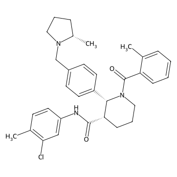 Cc1ccc(NC(=O)[C@H]2CCCN(C(=O)c3ccccc3C)[C@H]2c2ccc(CN3CCC[C@@H]3C)cc2)cc1Cl